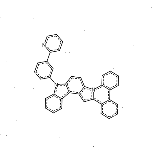 c1ccc(-c2cccc(-n3c4ccccc4c4c5cc6c7ccccc7c7ccccc7n6c5ccc43)c2)nc1